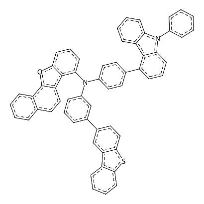 c1ccc(-n2c3ccccc3c3c(-c4ccc(N(c5cccc(-c6ccc7sc8ccccc8c7c6)c5)c5cccc6oc7c8ccccc8ccc7c56)cc4)cccc32)cc1